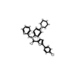 O=C(c1ccc(-c2ccc(Cl)cc2)o1)N(Cc1ccccn1)c1ccc(N2CCCCC2)cc1